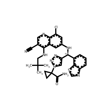 CC(C)(C)CNc1c(C#N)cnc2c(Cl)cc(N[C@H](c3cn(C4(C(N)=O)CC4)nn3)c3cccc4ncsc34)cc12